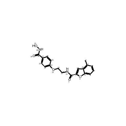 Cc1cccc2oc(C(=O)NCCOc3ccc(C(=O)NO)cc3)cc12